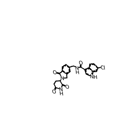 O=C1CCC(N2Cc3cc(CNC(=O)c4c[nH]c5cc(Cl)ccc45)ccc3C2=O)C(=O)N1